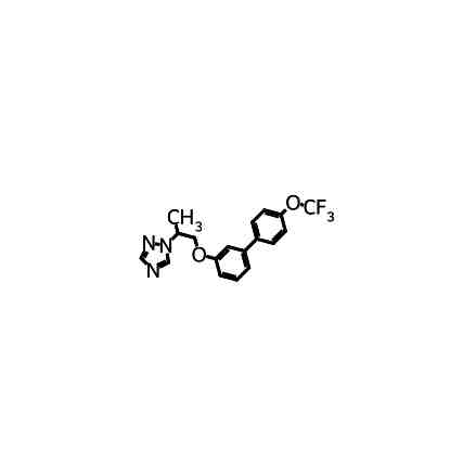 CC(COc1cccc(-c2ccc(OC(F)(F)F)cc2)c1)n1cncn1